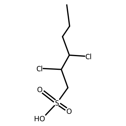 CCCC(Cl)C(Cl)CS(=O)(=O)O